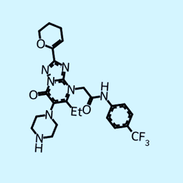 CCc1c(N2CCNCC2)c(=O)n2nc(C3=CCCCO3)nc2n1CC(=O)Nc1ccc(C(F)(F)F)cc1